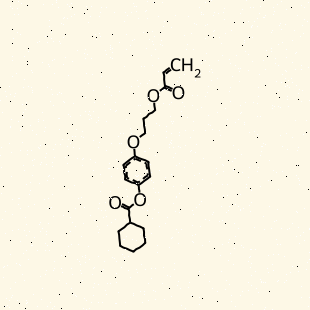 C=CC(=O)OCCCOc1ccc(OC(=O)C2CCCCC2)cc1